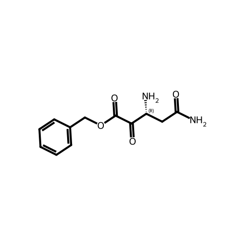 NC(=O)C[C@@H](N)C(=O)C(=O)OCc1ccccc1